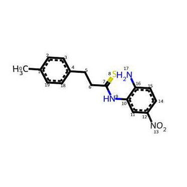 Cc1ccc(CCC(=S)Nc2cc([N+](=O)[O-])ccc2N)cc1